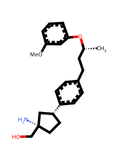 COc1cccc(O[C@H](C)CCc2ccc([C@@H]3CC[C@@](N)(CO)C3)cc2)c1